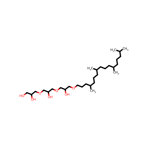 CC(C)CCCC(C)CCCC(C)CCCC(C)CCCOCC(O)COCC(O)COCC(O)CO